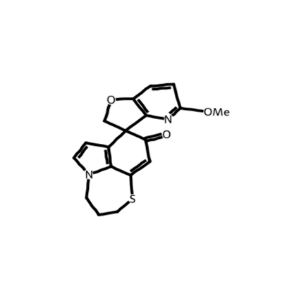 COc1ccc2c(n1)C1(CO2)C(=O)C=C2SCCCn3ccc1c32